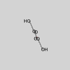 O=C(CCCCC(=O)OCCCCCCCCCO)OCCCCCCCCCO